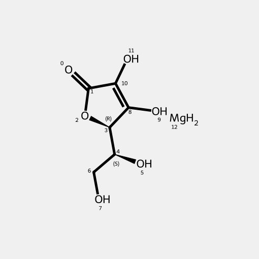 O=C1O[C@H]([C@@H](O)CO)C(O)=C1O.[MgH2]